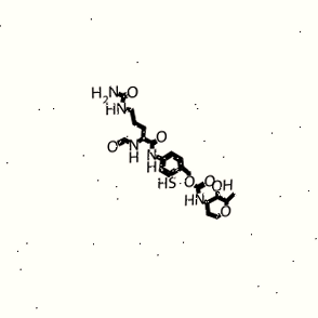 CC1OCCC(NC(=O)OCc2ccc(NC(=O)C(CCCNC(N)=O)NC=O)cc2S)C1O